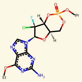 CCOc1nc(N)nc2c1ncn2[C@@H]1O[C@@H]2COP(=O)(OC(C)C)O[C@H]2[C@@]1(F)Cl